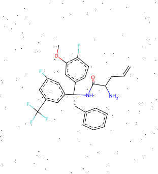 C=CCC(N)C(=O)N[C@@](Cc1ccccc1)(c1cc(F)cc(C(F)(F)F)c1)c1ccc(F)c(OC)c1